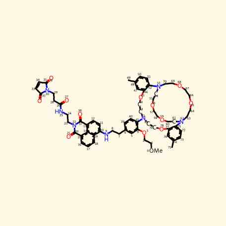 COCCOc1cc(CCNc2ccc3c4c(cccc24)C(=O)N(CCNC(=O)CCN2C(=O)C=CC2=O)C3=O)ccc1N1CCOc2cc(C)ccc2N2CCOCCOCCN(CCOCCOCC2)c2ccc(C)cc2OCC1